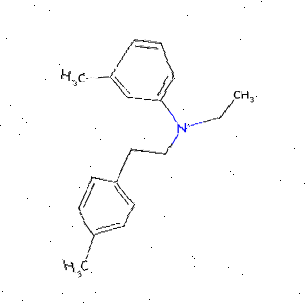 CCN(CCc1ccc(C)cc1)c1cccc(C)c1